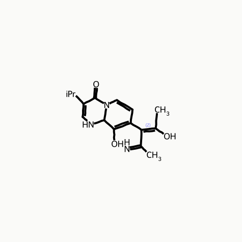 CC(=N)/C(C1=C(O)C2NC=C(C(C)C)C(=O)N2C=C1)=C(/C)O